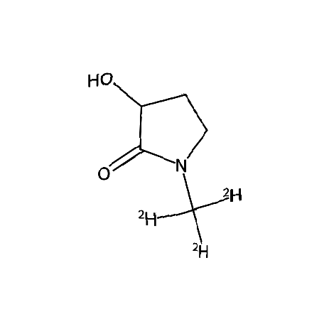 [2H]C([2H])([2H])N1CCC(O)C1=O